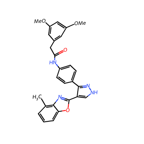 COc1cc(CC(=O)Nc2ccc(-c3n[nH]cc3-c3nc4c(C)cccc4o3)cc2)cc(OC)c1